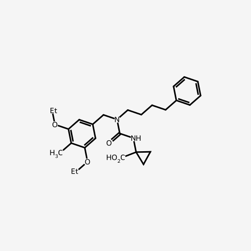 CCOc1cc(CN(CCCCc2ccccc2)C(=O)NC2(C(=O)O)CC2)cc(OCC)c1C